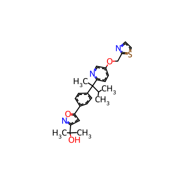 CC(C)C(C)(c1ccc(-c2cc(C(C)(C)O)no2)cc1)c1ccc(OCc2nccs2)cn1